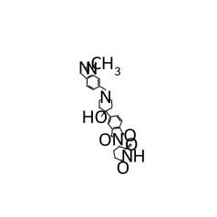 Cn1ncc2ccc(CN3CCC(O)(c4ccc5c(c4)C(=O)N(C4CCC(=O)NC4=O)C5=O)CC3)cc21